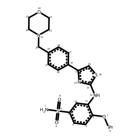 CC(C)Oc1ccc(S(N)(=O)=O)cc1Nc1nc(-c2ccc(CN3CCOCC3)cc2)cs1